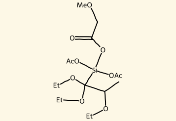 CCOC(C)C(OCC)(OCC)[Si](OC(C)=O)(OC(C)=O)OC(=O)COC